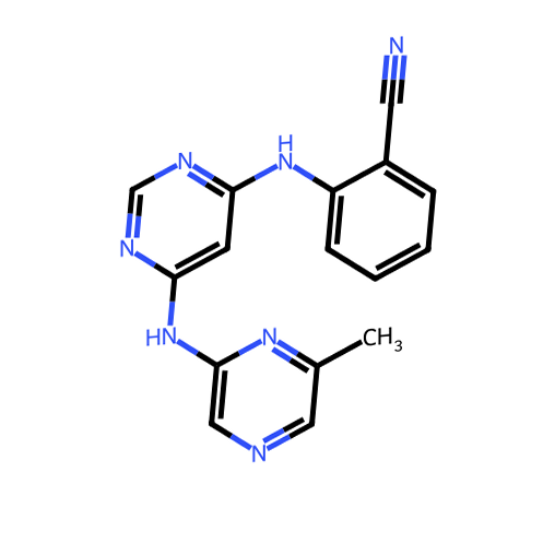 Cc1cncc(Nc2cc(Nc3ccccc3C#N)ncn2)n1